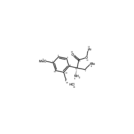 COc1ccc([C@](N)(CC(C)(C)C)C(=O)OC(C)C)c(F)c1.Cl